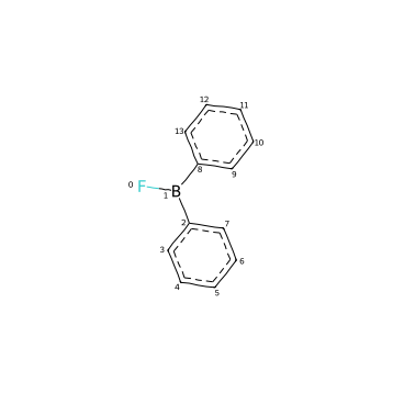 FB(c1ccccc1)c1ccccc1